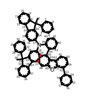 CC1(c2ccccc2)c2ccccc2-c2ccc(N(c3ccc4c(c3)C(C)(c3ccccc3)c3ccccc3-4)c3ccccc3-c3cccc4oc5c(-c6ccccc6)cccc5c34)cc21